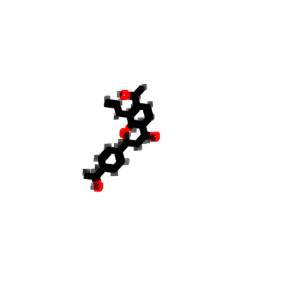 C=CCc1c(C(C)=O)ccc2c1OC(c1ccc(C(C)=O)cc1)CC2=O